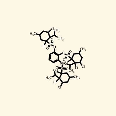 CC1CC(Cl)C(Cl)(C(C)C)C(Cl)(S(=O)(=O)Oc2cccc(OS(=O)(=O)C3(Cl)CC(C)CC(Cl)C3(Cl)C(C)C)c2OS(=O)(=O)C2(Cl)CC(C)CC(Cl)C2(Cl)C(C)C)C1